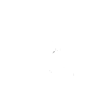 FC(F)(F)CN1C[C@H](NC(c2ccccc2)(c2ccccc2)c2ccccc2)CCc2ccccc21